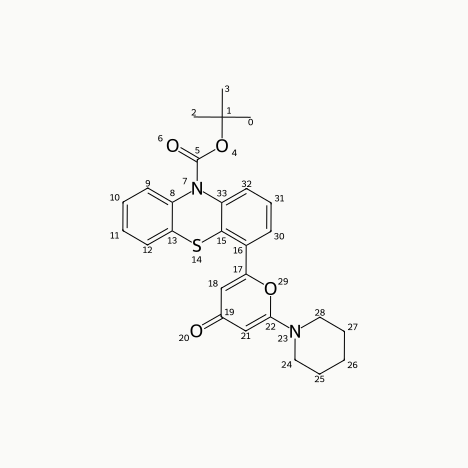 CC(C)(C)OC(=O)N1c2ccccc2Sc2c(-c3cc(=O)cc(N4CCCCC4)o3)cccc21